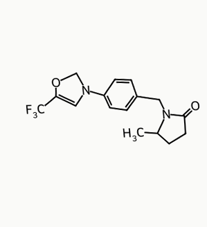 CC1CCC(=O)N1Cc1ccc(N2C=C(C(F)(F)F)OC2)cc1